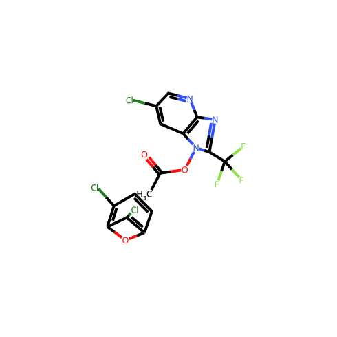 CC(=O)On1c(C(F)(F)F)nc2ncc(Cl)cc21.Clc1ccc2c(Cl)c1O2